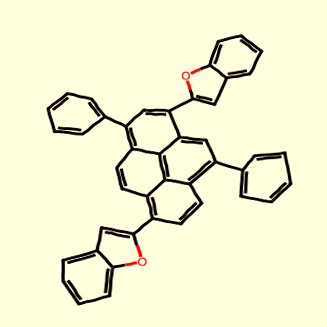 c1ccc(-c2cc3c(-c4cc5ccccc5o4)cc(-c4ccccc4)c4ccc5c(-c6cc7ccccc7o6)ccc2c5c43)cc1